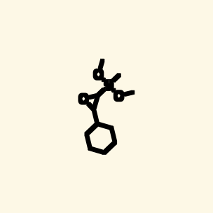 CO[Si](C)(OC)C1OC1C1CCCCC1